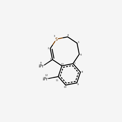 CC(C)/C1=C/SCCCc2cccc(C(C)C)c21